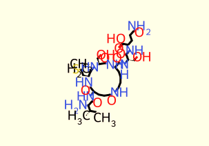 C=C1N[C@@H](CO)C(=O)NC(C(=O)N[C@@H](CO)C(=O)NC(CCC(N)=O)C(=O)O)CCCCNC(=O)CCC(NC(=O)C(N)[C@@H](C)CC)C(=O)N[C@H]1CCSC